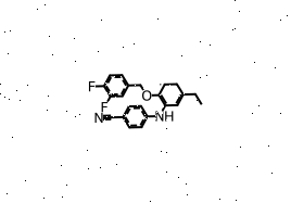 CCC1=CC(Nc2ccc(C#N)cc2)=C(OCc2ccc(F)c(F)c2)[CH]C1